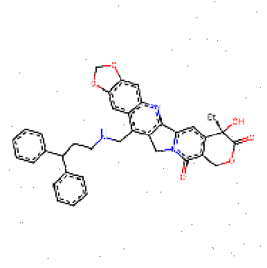 CC[C@@]1(O)C(=O)OCc2c1cc1n(c2=O)Cc2c-1nc1cc3c(cc1c2CNCCC(c1ccccc1)c1ccccc1)OCO3